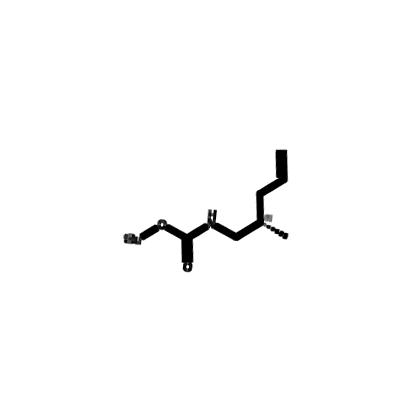 C=CC[C@H](C)CNC(=O)OC(C)(C)C